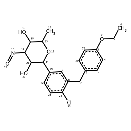 CCOc1ccc(Cc2cc(C3OC(C)C(O)C(N=O)C3O)ccc2Cl)cc1